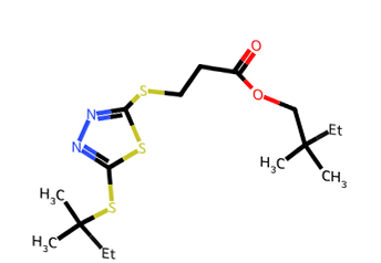 CCC(C)(C)COC(=O)CCSc1nnc(SC(C)(C)CC)s1